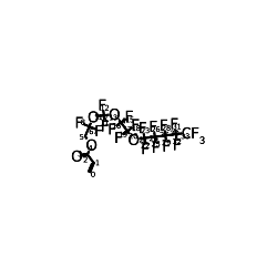 C=CC(=O)OCC(F)(F)OC(F)(F)OC(F)(F)C(F)(F)OC(F)(F)C(F)(F)C(F)(F)C(F)(F)C(F)(F)F